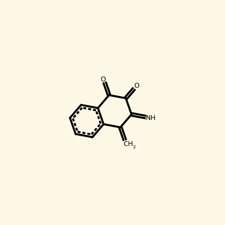 C=C1C(=N)C(=O)C(=O)c2ccccc21